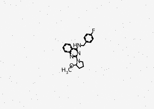 COC1CCCN1c1nc(NCc2ccc(F)cc2)c2ccccc2n1